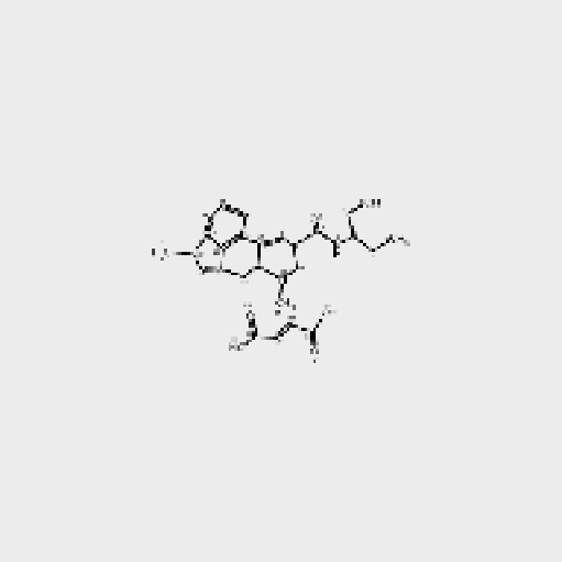 CCC(CO)NC(=O)C1C=C2c3cccc4c3c(cn4C)CC2N(C)C1.O=C(O)C=CC(=O)O